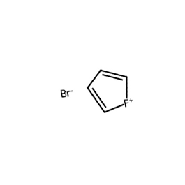 C1=C[F+]C=C1.[Br-]